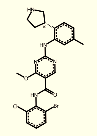 COc1nc(Nc2cc(C)ccc2[C@@H]2CCNC2)ncc1C(=O)Nc1c(Cl)cccc1Br